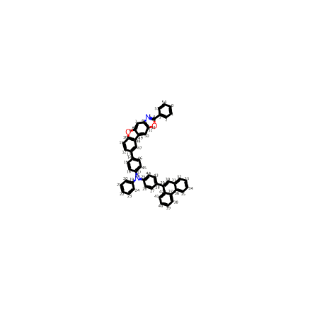 c1ccc(-c2nc3cc4oc5ccc(-c6ccc(N(c7ccccc7)c7ccc(-c8cc9ccccc9c9ccccc89)cc7)cc6)cc5c4cc3o2)cc1